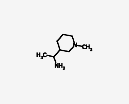 CC(N)C1CCCN(C)C1